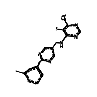 Cc1cc(-c2ncc(CNc3ncnc(Cl)c3F)cn2)ccn1